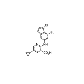 CCc1cc(Nc2ncc(C3CC3)cc2C(=O)O)cc2ccn(CC)c12